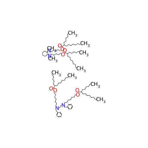 CCCCCCCCC(CCCCCC)C(=O)OCCCCCCCN(CCN(CCCCCCCOC(=O)C(CCCCCC)CCCCCCCC)Cc1ccccc1)Cc1ccccc1.CCCCCCCCC(CCCCCC)C(=O)OCCCCCN(C)[C@@H]1CCCC[C@H]1N(C)CCCCCOC(=O)C(CCCCCC)CCCCCCCC